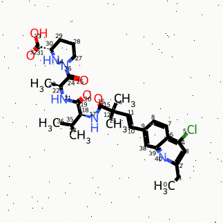 CCc1cc(Cl)c2ccc(/C=C/C(C)(C)C(=O)N[C@H](C(=O)N[C@@H](C)C(=O)N3CCC[C@@H](C(=O)O)N3)C(C)C)cc2n1